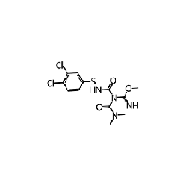 COC(=N)N(C(=O)NSc1ccc(Cl)c(Cl)c1)C(=O)N(C)C